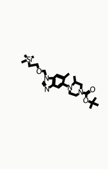 Cc1cc2c(cc1N1CCN(C(=O)OC(C)(C)C)CC1C)ncn2COCC[Si](C)(C)C